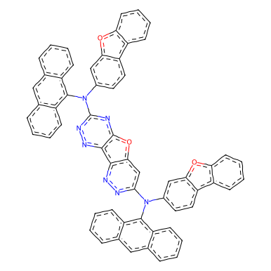 c1ccc2c(N(c3ccc4c(c3)oc3ccccc34)c3cc4oc5nc(N(c6ccc7c(c6)oc6ccccc67)c6c7ccccc7cc7ccccc67)nnc5c4nn3)c3ccccc3cc2c1